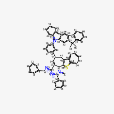 C=N/C(=N\C(=N/Cc1ccccc1)C1=CC(c2cccc(-n3c4ccccc4c4cc5c(cc43)C(C)(C)c3ccccc3-5)c2)=Cc2c(sc3c2=CC=CCC=3)C1)c1ccccc1